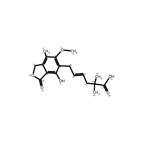 COc1c(C)c2c(c(O)c1CC=CCC(C)(C)C(=O)O)C(=O)OC2